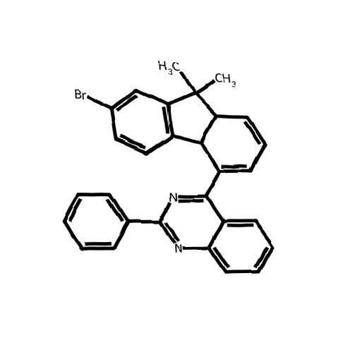 CC1(C)c2cc(Br)ccc2C2C(c3nc(-c4ccccc4)nc4ccccc34)=CC=CC21